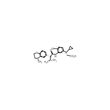 C[C@H]([C@@H](C(=O)Nc1cc([C@@H](CC(=O)O)C2CC2)ccc1Cl)c1ccc2c(c1)N(C)CCO2)C(F)(F)F